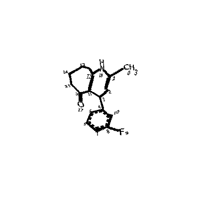 CC1=CC(c2cccc(F)c2)C2=C(CCCC2=O)N1